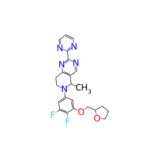 CC1c2cnc(-c3ncccn3)nc2CCN1c1cc(F)c(F)c(OCC2CCCO2)c1